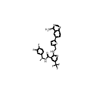 C[C@H](NC(=O)c1cc(C(F)(F)F)cnc1NCc1ccc(-c2ccc3ncnc(N)c3c2)s1)c1ccc(F)c(F)c1